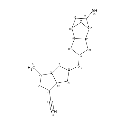 C#CC1CC(C)C2CC(SC3CC4C5CC(S)C(C5)C4C3)CC12